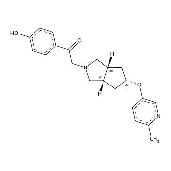 Cc1ccc(O[C@@H]2C[C@@H]3CN(CC(=O)c4ccc(O)cc4)C[C@@H]3C2)cn1